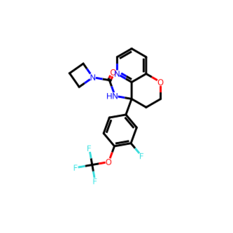 O=C(NC1(c2ccc(OC(F)(F)F)c(F)c2)CCOc2cccnc21)N1CCC1